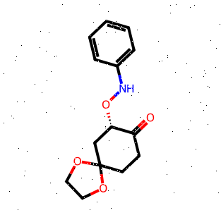 O=C1CCC2(C[C@@H]1ONc1ccccc1)OCCO2